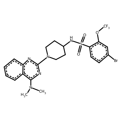 CN(C)c1nc(N2CCC(NS(=O)(=O)c3ccc(Br)cc3OC(F)(F)F)CC2)nc2ccccc12